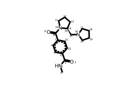 CNC(=O)c1ccc(C(=O)N2CCC[C@H]2CN2CCCC2)cc1